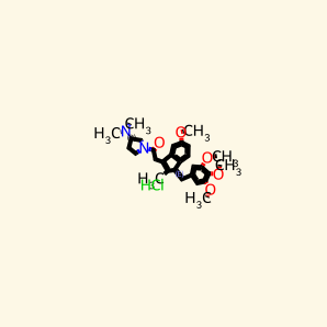 COc1ccc2c(c1)C(CC(=O)N1CC[C@@H](N(C)C)C1)=C(C)/C2=C/c1cc(OC)c(OC)c(OC)c1.Cl